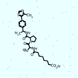 Cc1ncsc1-c1ccc(C(C)NC(=O)C2CCCN2C(=O)C(NC(=O)CCCCCCC(=O)O)C(C)(C)C)cc1